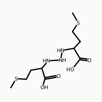 CSCCC(NNNC(CCSC)C(=O)O)C(=O)O